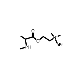 CCC[N+](C)(C)CCOC(=O)C(C)PC